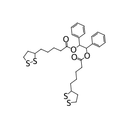 O=C(CCCCC1CCSS1)OC(c1ccccc1)C(OC(=O)CCCCC1CCSS1)c1ccccc1